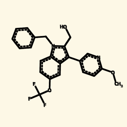 COc1ccc(-c2c(CO)n(Cc3ccccc3)c3ccc(OC(F)(F)F)cc23)cn1